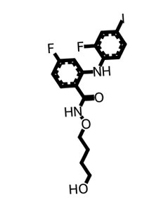 O=C(NOCCCCO)c1ccc(F)cc1Nc1ccc(I)cc1F